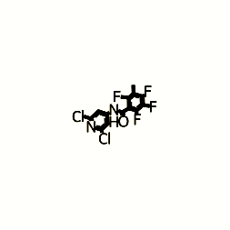 Cc1c(F)c(F)c(F)c(C(=O)Nc2cc(Cl)nc(Cl)c2)c1F